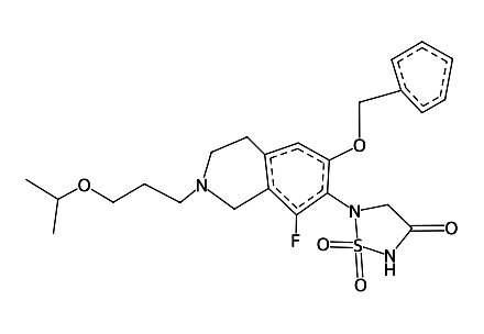 CC(C)OCCCN1CCc2cc(OCc3ccccc3)c(N3CC(=O)NS3(=O)=O)c(F)c2C1